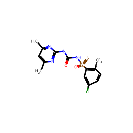 Cc1cc(C)nc(NC(=O)NS(=O)(=S)c2cc(Cl)ccc2C(F)(F)F)n1